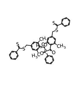 Cc1cc(CSC(=S)c2ccccc2)cc(C)c1C(=O)P(=O)(C(=O)c1c(C)cc(CSC(=S)c2ccccc2)cc1C)c1ccccc1